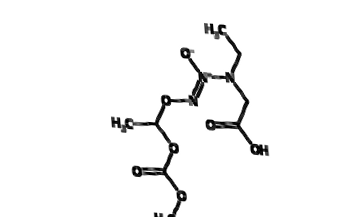 CCN(CC(=O)O)[N+]([O-])=NOC(C)OC(=O)OC